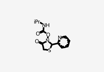 CC(C)NC(=O)ON1C(=O)CSC1c1ccccn1